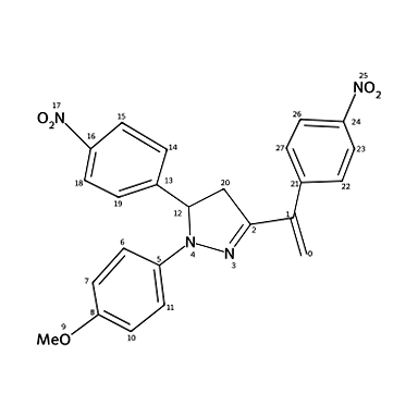 C=C(C1=NN(c2ccc(OC)cc2)C(c2ccc([N+](=O)[O-])cc2)C1)c1ccc([N+](=O)[O-])cc1